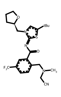 CN(CC#N)Cc1ccc(C(F)(F)F)cc1C(=O)/N=c1\sc(C(C)(C)C)cn1C[C@H]1CCCO1